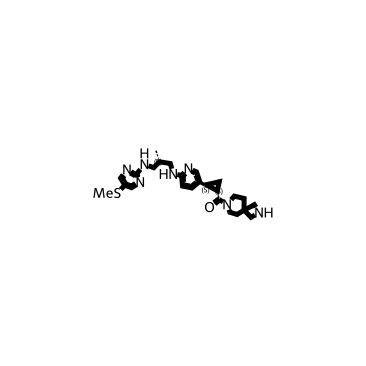 CSc1cnc(NC[C@H](C)CNc2ccc([C@H]3C[C@@H]3C(=O)N3CCC4(CC3)CNC4)cn2)nc1